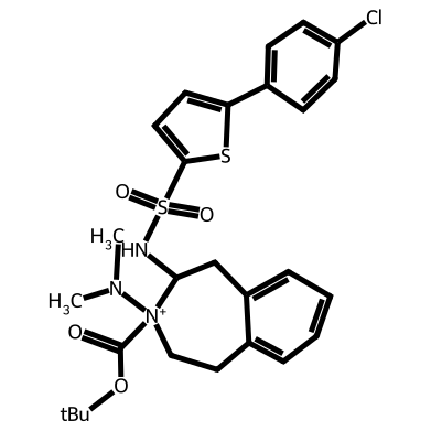 CN(C)[N+]1(C(=O)OC(C)(C)C)CCc2ccccc2CC1NS(=O)(=O)c1ccc(-c2ccc(Cl)cc2)s1